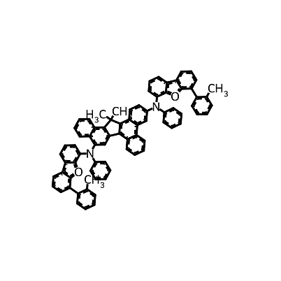 Cc1ccccc1-c1cccc2c1oc1c(N(c3ccccc3)c3ccc4c5c(c6ccccc6c4c3)-c3cc(N(c4ccccc4)c4cccc6c4oc4c(-c7ccccc7C)cccc46)c4ccccc4c3C5(C)C)cccc12